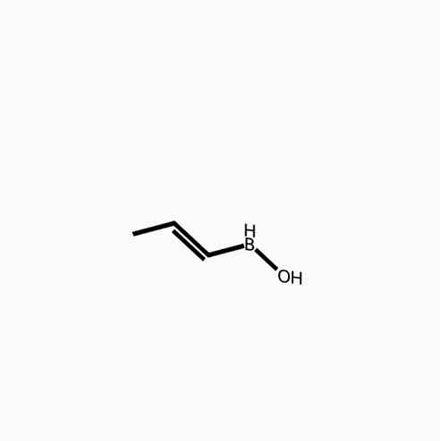 C/C=C/BO